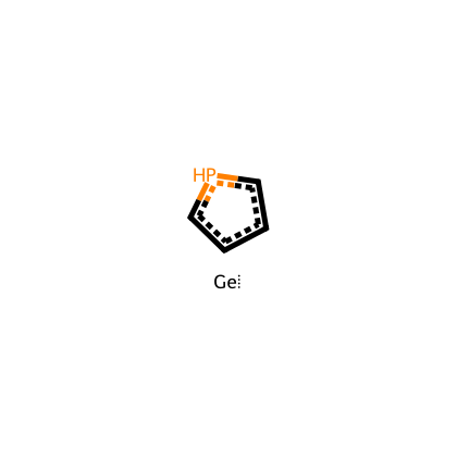 [Ge].c1cc[pH]c1